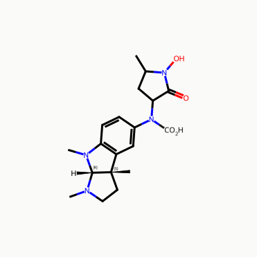 CC1CC(N(C(=O)O)c2ccc3c(c2)[C@]2(C)CCN(C)[C@@H]2N3C)C(=O)N1O